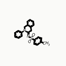 Cc1ccc(S(=O)(=O)N=C2Cc3ccccc3CN2c2ccccc2)cc1